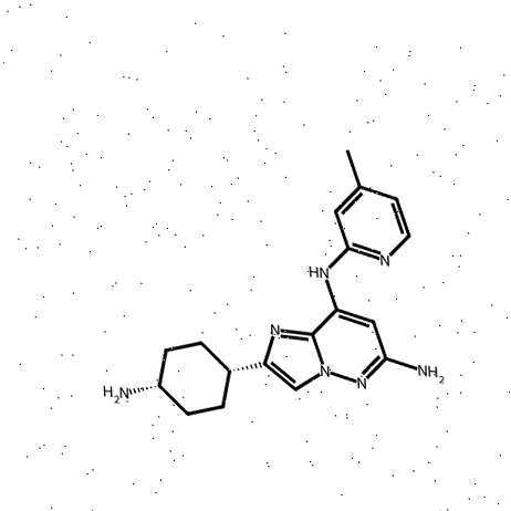 Cc1ccnc(Nc2cc(N)nn3cc([C@H]4CC[C@@H](N)CC4)nc23)c1